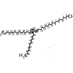 CCCCCCCCCCCCCCCCCCC[n+]1ccn(CCCCCCCCCCCCCC)c1CCCCCCCCCCCC